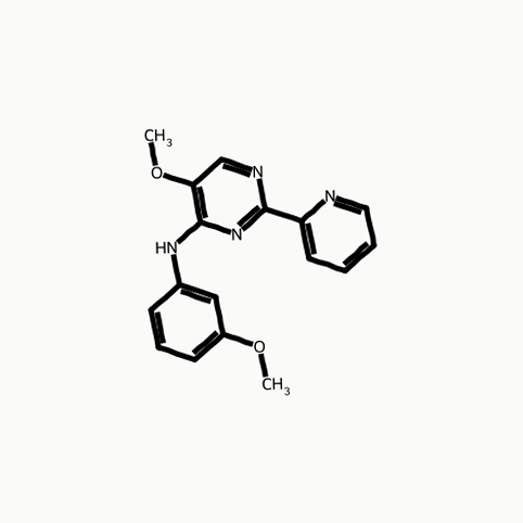 COc1cccc(Nc2nc(-c3ccccn3)ncc2OC)c1